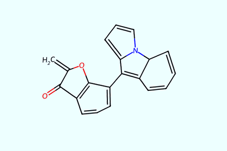 C=C1Oc2c(cccc2C2=C3C=CC=CC3n3cccc32)C1=O